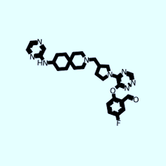 O=Cc1cc(F)ccc1Oc1nncnc1N1CCC(CN2CCC3(CCC(Nc4cnccn4)CC3)CC2)C1